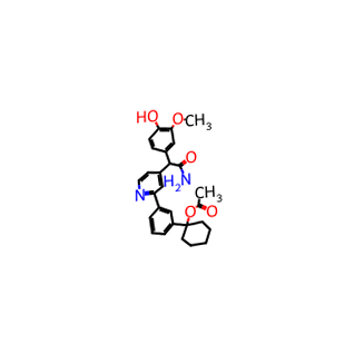 COc1cc(C(C(N)=O)c2ccnc(-c3cccc(C4(OC(C)=O)CCCCC4)c3)c2)ccc1O